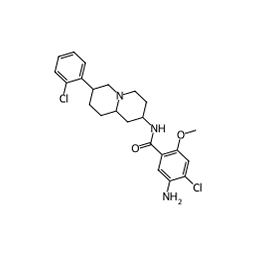 COc1cc(Cl)c(N)cc1C(=O)NC1CCN2CC(c3ccccc3Cl)CCC2C1